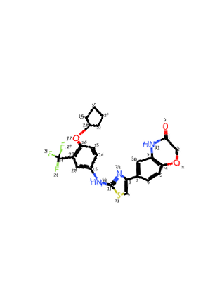 O=C1COc2ccc(-c3csc(Nc4ccc(OC5CCCC5)c(C(F)(F)F)c4)n3)cc2N1